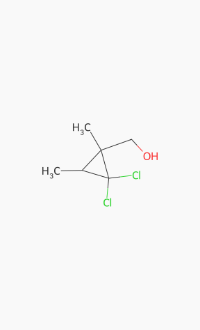 CC1C(Cl)(Cl)C1(C)CO